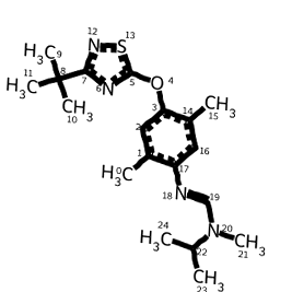 Cc1cc(Oc2nc(C(C)(C)C)ns2)c(C)cc1N=CN(C)C(C)C